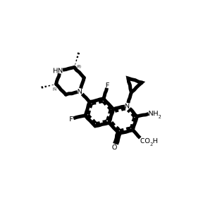 C[C@@H]1CN(c2c(F)cc3c(=O)c(C(=O)O)c(N)n(C4CC4)c3c2F)C[C@H](C)N1